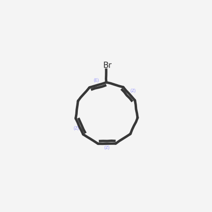 BrC1=C/C/C=C\C=C/CC/C=C\1